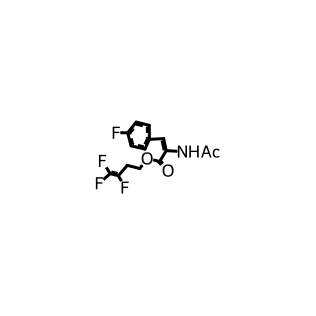 CC(=O)NC(=Cc1ccc(F)cc1)C(=O)OCCC(F)=C(F)F